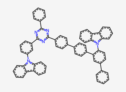 c1ccc(-c2ccc(-n3c4ccccc4c4ccccc43)c(-c3ccc(-c4ccc(-c5nc(-c6ccccc6)nc(-c6cccc(-n7c8ccccc8c8ccccc87)c6)n5)cc4)cc3)c2)cc1